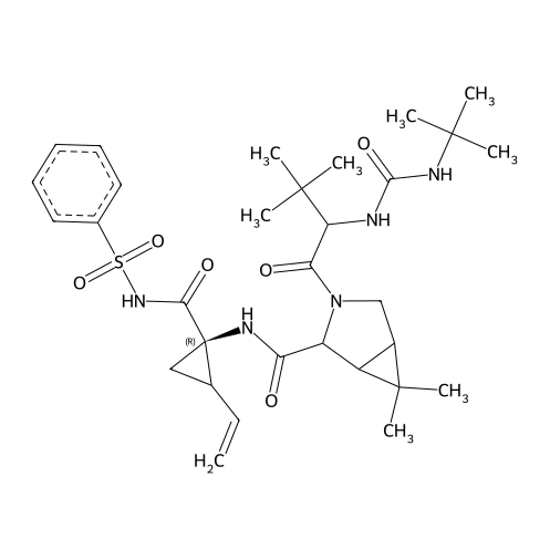 C=CC1C[C@]1(NC(=O)C1C2C(CN1C(=O)C(NC(=O)NC(C)(C)C)C(C)(C)C)C2(C)C)C(=O)NS(=O)(=O)c1ccccc1